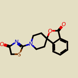 O=C1CSC(N2CCC3(CC2)OC(=O)c2ccccc23)=N1